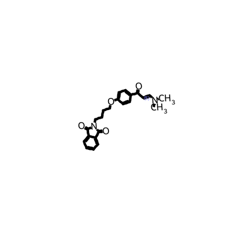 CN(C)/C=C/C(=O)c1ccc(OCCCCN2C(=O)c3ccccc3C2=O)cc1